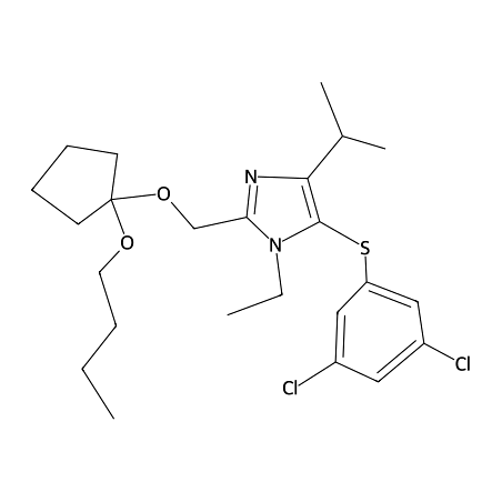 CCCCOC1(OCc2nc(C(C)C)c(Sc3cc(Cl)cc(Cl)c3)n2CC)CCCC1